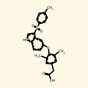 Cc1ccc(S(=O)(=O)c2c[nH]c3ccc(Oc4c(C)cc(CC(=O)O)cc4C)cc23)cc1